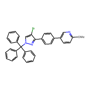 COc1ccc(-c2ccc(-c3nn(C(c4ccccc4)(c4ccccc4)c4ccccc4)cc3Br)cc2)cn1